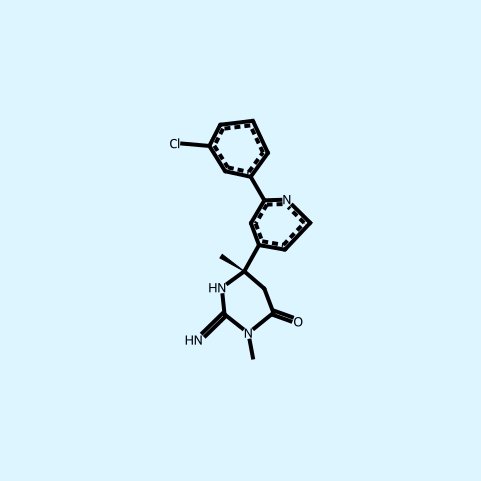 CN1C(=N)N[C@](C)(c2ccnc(-c3cccc(Cl)c3)c2)CC1=O